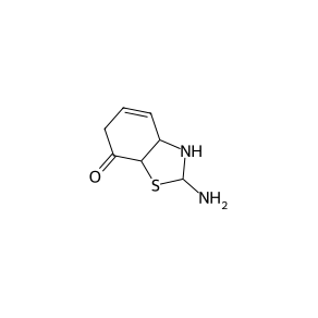 NC1NC2C=CCC(=O)C2S1